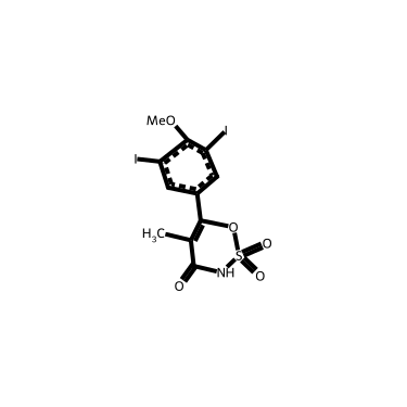 COc1c(I)cc(C2=C(C)C(=O)NS(=O)(=O)O2)cc1I